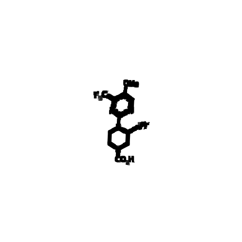 COc1cnc(N2CCN(C(=O)O)CC2C(C)C)nc1C(F)(F)F